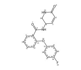 O=C1C=CC(NC(=O)c2ccccc2Oc2ccc(F)cc2)CN1